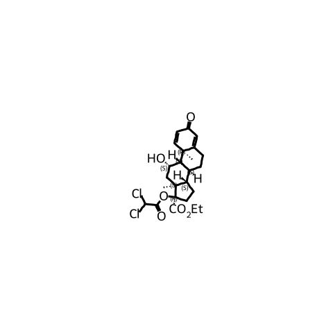 CCOC(=O)[C@@]1(OC(=O)C(Cl)Cl)CC[C@H]2[C@@H]3CCC4=CC(=O)C=C[C@]4(C)[C@H]3[C@@H](O)C[C@@]21C